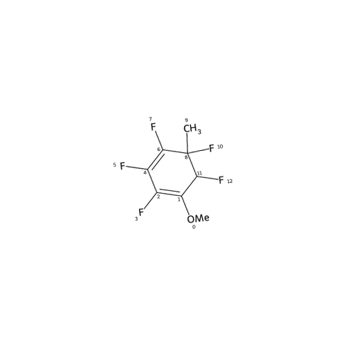 COC1=C(F)C(F)=C(F)C(C)(F)C1F